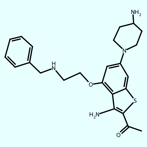 CC(=O)c1sc2cc(N3CCC(N)CC3)cc(OCCNCc3ccccc3)c2c1N